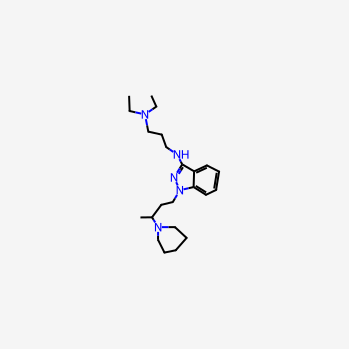 CCN(CC)CCCNc1nn(CCC(C)N2CCCCC2)c2ccccc12